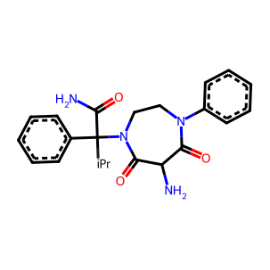 CC(C)C(C(N)=O)(c1ccccc1)N1CCN(c2ccccc2)C(=O)C(N)C1=O